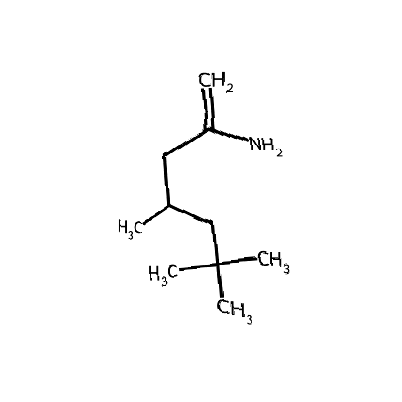 C=C(N)CC(C)CC(C)(C)C